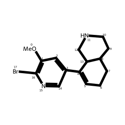 COc1cc(C2=CCCC3CCNCC23)cnc1Br